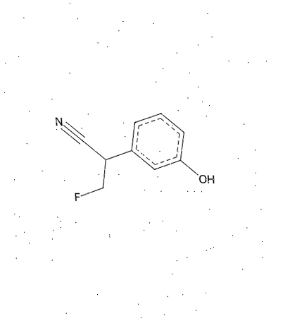 N#CC(CF)c1cccc(O)c1